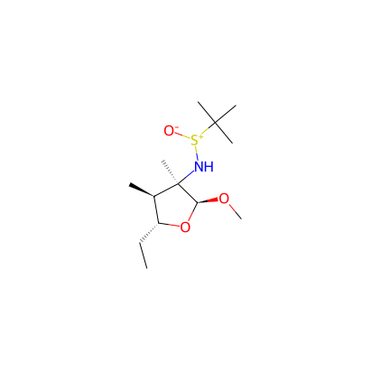 CC[C@H]1O[C@H](OC)[C@](C)(N[S+]([O-])C(C)(C)C)[C@@H]1C